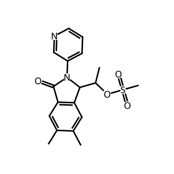 Cc1cc2c(cc1C)C(C(C)OS(C)(=O)=O)N(c1cccnc1)C2=O